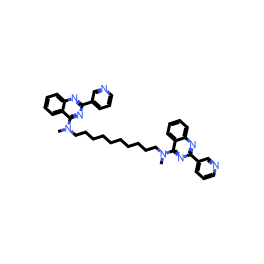 CN(CCCCCCCCCCN(C)c1nc(-c2cccnc2)nc2ccccc12)c1nc(-c2cccnc2)nc2ccccc12